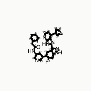 O=C(Cc1ccccc1)Nc1cncc(-c2cc3c(-c4nc5c(-c6ccsc6)ccnc5[nH]4)n[nH]c3cc2F)c1